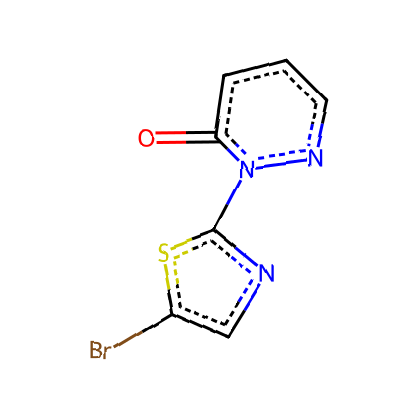 O=c1cccnn1-c1ncc(Br)s1